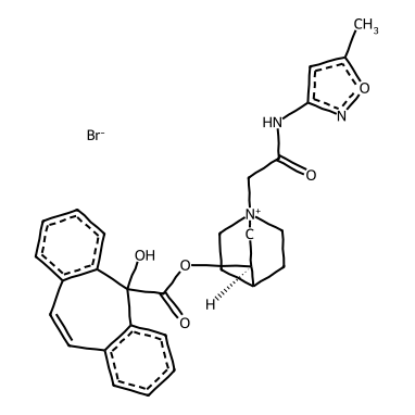 Cc1cc(NC(=O)C[N+]23CCC(CC2)[C@@H](OC(=O)C2(O)c4ccccc4C=Cc4ccccc42)C3)no1.[Br-]